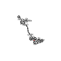 CC[C@H](NC)C(=O)N[C@@H]1C(=O)N2[C@@H](CC[C@@H]1CNC(=O)CCC#CC#CCCC(=O)NCCNC(=O)C(NC(=O)[C@@H]1CC[C@@H]3CC[C@H](CNCc4ccccc4)[C@H](NC(=O)[C@H](CC)NC)C(=O)N31)(c1ccccc1)c1ccccc1)CC[C@H]2C(=O)NCc1ccccc1